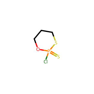 S=P1(Cl)OCCCS1